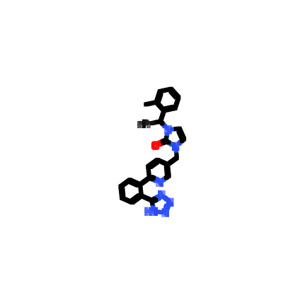 CCCC(c1ccccc1C)n1ccn(Cc2ccc(-c3ccccc3-c3nnn[nH]3)nc2)c1=O